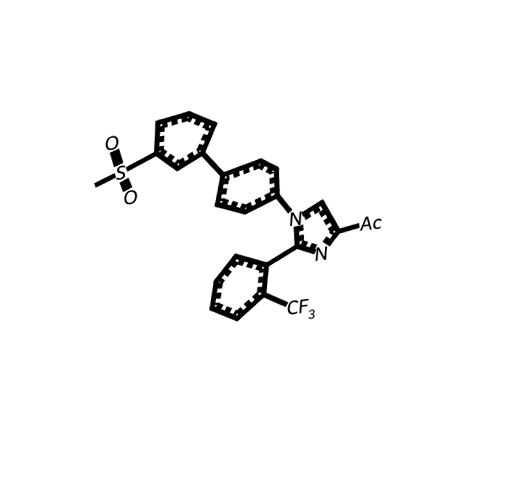 CC(=O)c1cn(-c2ccc(-c3cccc(S(C)(=O)=O)c3)cc2)c(-c2ccccc2C(F)(F)F)n1